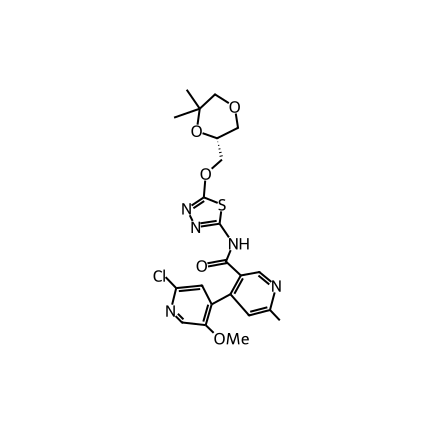 COc1cnc(Cl)cc1-c1cc(C)ncc1C(=O)Nc1nnc(OC[C@H]2COCC(C)(C)O2)s1